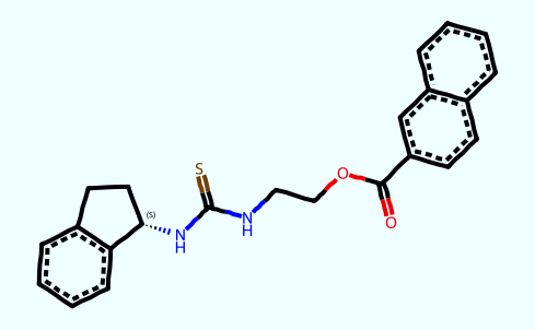 O=C(OCCNC(=S)N[C@H]1CCc2ccccc21)c1ccc2ccccc2c1